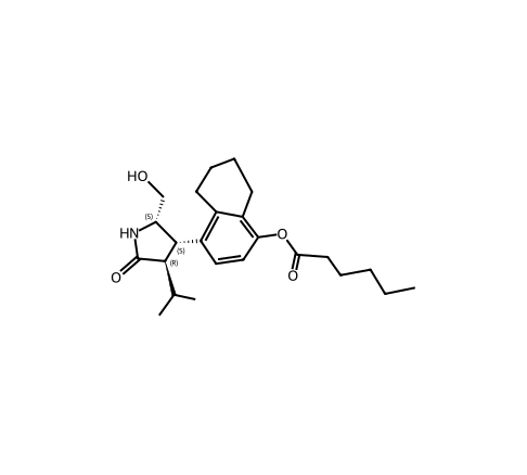 CCCCCC(=O)Oc1ccc([C@@H]2[C@@H](C(C)C)C(=O)N[C@@H]2CO)c2c1CCCC2